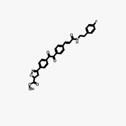 CC(C)(C)OC(=O)C1CC(c2ccc(C(=O)C(=O)c3ccc(/C=C/C(=O)NCCc4ccc(F)cc4)cc3)cc2)=NO1